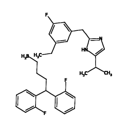 BCCCC(c1ccccc1F)c1ccccc1F.CCc1cc(F)cc(Cc2ncc(C(C)C)[nH]2)c1